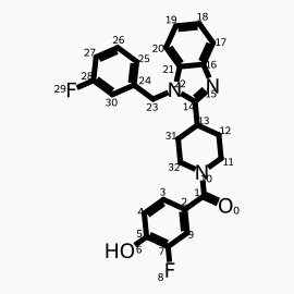 O=C(c1ccc(O)c(F)c1)N1CCC(c2nc3ccccc3n2Cc2cccc(F)c2)CC1